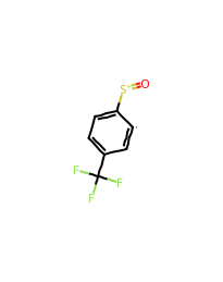 O=[S+]c1[c]cc(C(F)(F)F)cc1